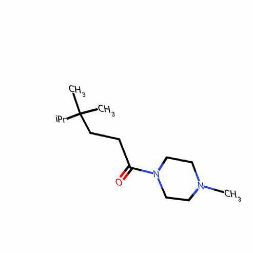 CC(C)C(C)(C)CCC(=O)N1CCN(C)CC1